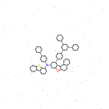 c1ccc(-c2ccc(N(c3cc(-c4ccc(-c5cc(-c6ccccc6)cc(-c6ccccc6)c5)cc4)c4c(c3)oc3ccc5ccccc5c34)c3cccc4c3sc3ccccc34)cc2)cc1